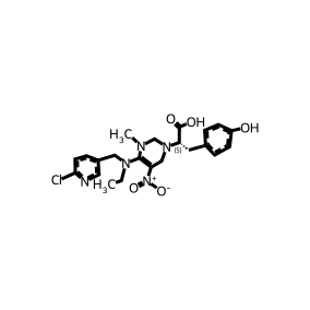 CCN(Cc1ccc(Cl)nc1)C1=C([N+](=O)[O-])CN([C@@H](Cc2ccc(O)cc2)C(=O)O)CN1C